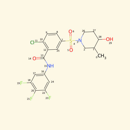 CC1CN(S(=O)(=O)c2ccc(Cl)c(C(=O)Nc3cc(F)c(F)c(F)c3)c2)CCC1O